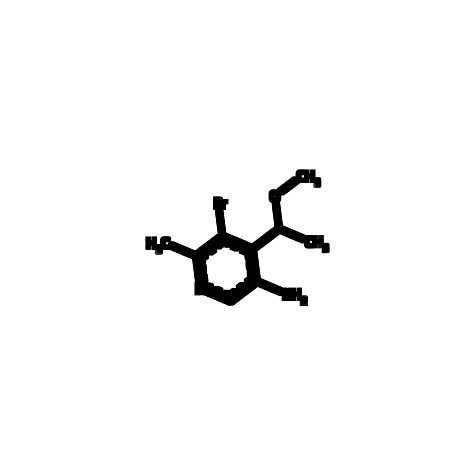 COC(C)c1c(N)cnc(C)c1Br